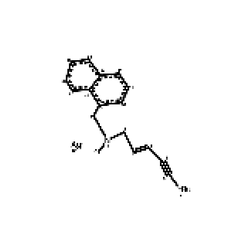 CN(C/C=C/C#CC(C)(C)C)Cc1cccc2ccccc12.[Ag]